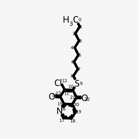 CCCCCCCCCSC1=C(Cl)C(=O)c2ncccc2C1=O